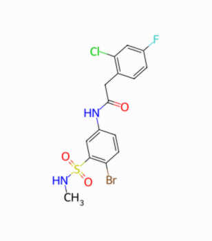 CNS(=O)(=O)c1cc(NC(=O)Cc2ccc(F)cc2Cl)ccc1Br